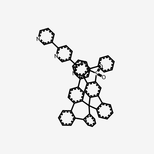 O=S1(=O)c2ccccc2-c2cc3c(cc21)-c1ccccc1C31c2ccccc2-c2ccccc2-c2ccc(-c3cc(-c4ccccc4)nc(-c4ccc(-c5cccnc5)nc4)n3)cc21